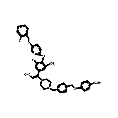 COc1ccc(OCc2ccc(CN3CCN(/C(=C/C=O)c4cc(C)c(Oc5ccc(OCc6ccccc6Cl)cn5)c(Cl)c4)CC3)cc2)cc1